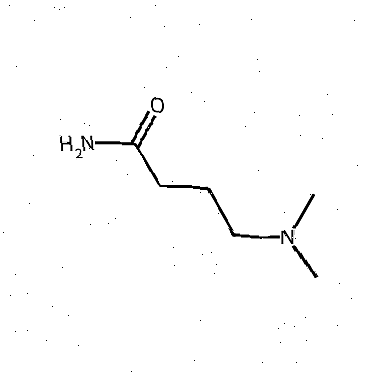 CN(C)CCCC(N)=O